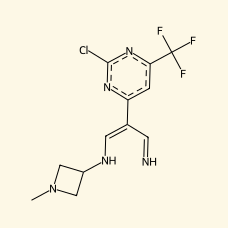 CN1CC(N/C=C(\C=N)c2cc(C(F)(F)F)nc(Cl)n2)C1